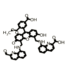 COC(=O)c1ccc(C(=O)O)cc1-c1c2ccc(=O)c(CNc3cccc4ccc(C=O)nc34)c-2oc2c(CNc3cccc4ccc(C(=O)O)nc34)c(O)ccc12